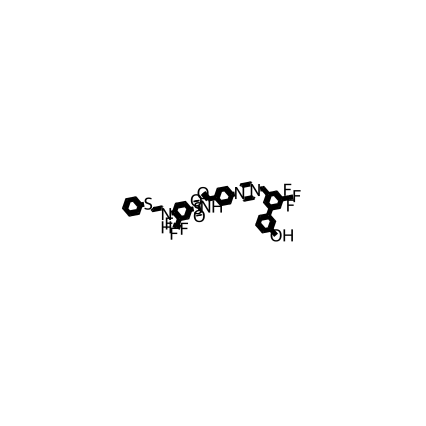 O=C(NS(=O)(=O)c1ccc(NCCSc2ccccc2)c(C(F)(F)F)c1)c1ccc(N2CCN(Cc3cc(-c4cccc(O)c4)cc(C(F)(F)F)c3)CC2)cc1